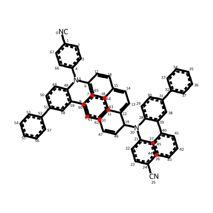 [C-]#[N+]c1ccc(N(C2=C3C=CC4=C5C(=CC=C(C=C2)C35)C(N(c2ccc(C#N)cc2)c2ccc(-c3ccccc3)cc2-c2ccccc2)C=C4)c2ccc(-c3ccccc3)cc2-c2ccccc2)cc1